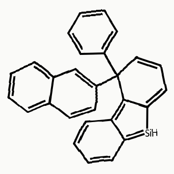 C1=CC(c2ccccc2)(c2ccc3ccccc3c2)C2=c3ccccc3=[SiH]C2=C1